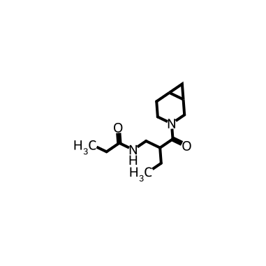 CCC(=O)NCC(CC)C(=O)N1CCC2CC2C1